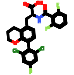 O=C(N[C@@H](Cc1ccc(-c2c(Cl)cc(F)cc2Cl)c2c1CCCO2)C(=O)O)c1c(F)cccc1F